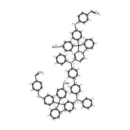 C=Cc1ccc(Oc2ccc(C3(c4ccc(OC)cc4)c4ccccc4-c4ccc(N(c5ccccc5)c5ccc(-c6ccc(N(C7=CC8C(C=C7)c7ccccc7C8(c7ccc(OC)cc7)c7ccc(Oc8ccc(C=C)cc8)cc7)c7ccccc7)cc6)cc5)cc43)cc2)cc1